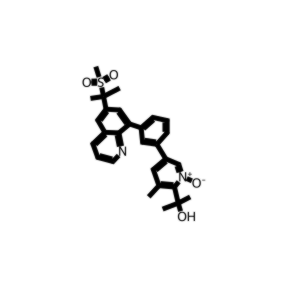 Cc1cc(-c2cccc(-c3cc(C(C)(C)S(C)(=O)=O)cc4cccnc34)c2)c[n+]([O-])c1C(C)(C)O